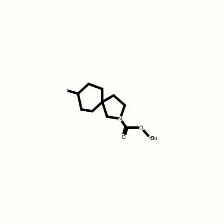 CC(C)(C)OC(=O)N1CCC2(CCC(I)CC2)C1